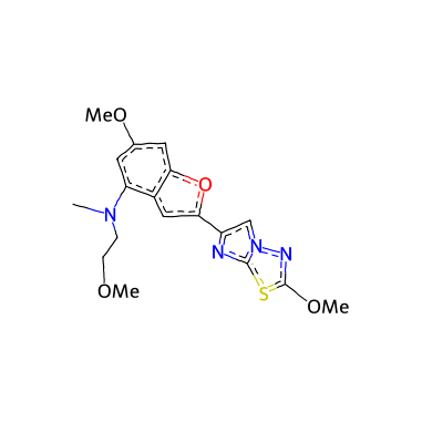 COCCN(C)c1cc(OC)cc2oc(-c3cn4nc(OC)sc4n3)cc12